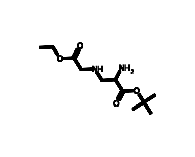 CCOC(=O)CNCC(N)C(=O)OC(C)(C)C